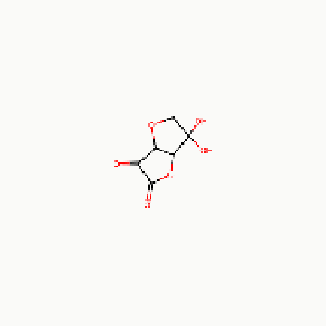 O=C1OC2C(OCC2(O)O)C1=O